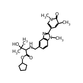 Cc1cc(-c2nc3cc(CNC(C(=O)OC4CCCC4)C(C)(C)O)ccc3n2C)cn(C)c1=O